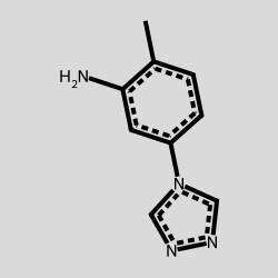 Cc1ccc(-n2cnnc2)cc1N